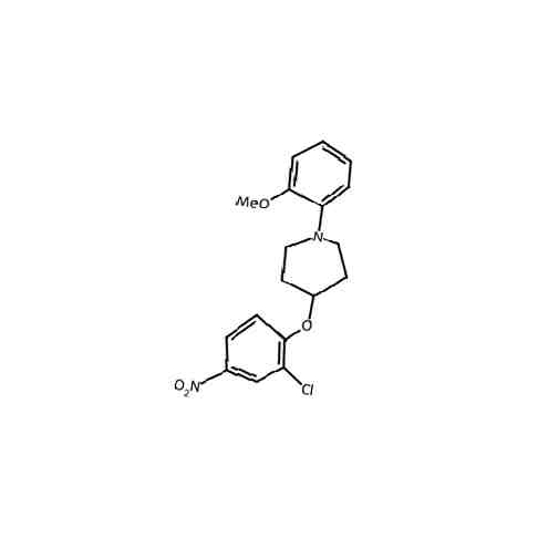 COc1ccccc1N1CCC(Oc2ccc([N+](=O)[O-])cc2Cl)CC1